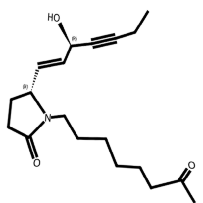 CCC#C[C@H](O)C=C[C@H]1CCC(=O)N1CCCCCCC(=O)O